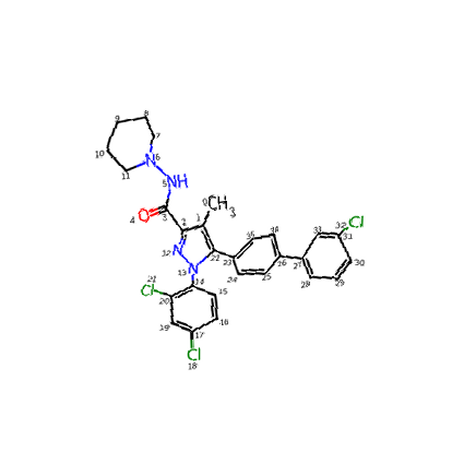 Cc1c(C(=O)NN2CCCCC2)nn(-c2ccc(Cl)cc2Cl)c1-c1ccc(-c2cccc(Cl)c2)cc1